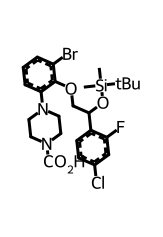 CC(C)(C)[Si](C)(C)OC(COc1c(Br)cccc1N1CCN(C(=O)O)CC1)c1ccc(Cl)cc1F